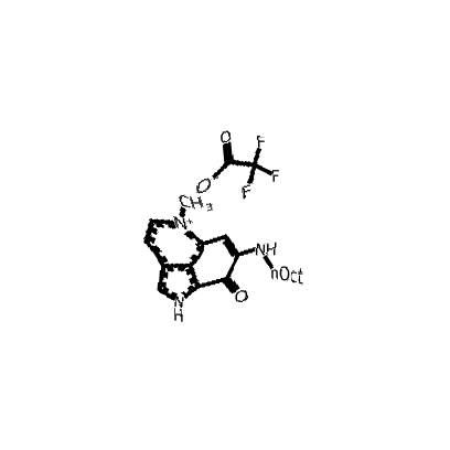 CCCCCCCCNC1=Cc2c3c([nH]cc3cc[n+]2C)C1=O.O=C([O-])C(F)(F)F